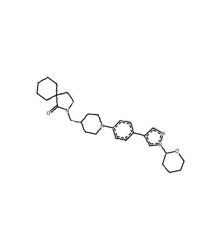 O=C1N(CC2CCN(c3ccc(-c4cnn(C5CCCCO5)c4)cc3)CC2)CCC12CCCCC2